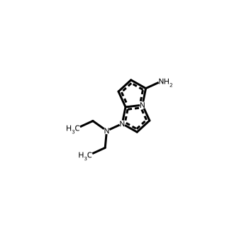 CCN(CC)n1ccn2c(N)ccc12